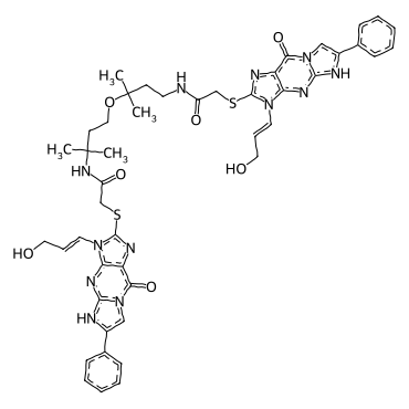 CC(C)(CCOC(C)(C)CCNC(=O)CSc1nc2c(=O)n3cc(-c4ccccc4)[nH]c3nc2n1C=CCO)NC(=O)CSc1nc2c(=O)n3cc(-c4ccccc4)[nH]c3nc2n1C=CCO